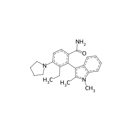 CCc1c(N2CCCC2)ccc(C(N)=O)c1-c1c(C)n(C)c2ccccc12